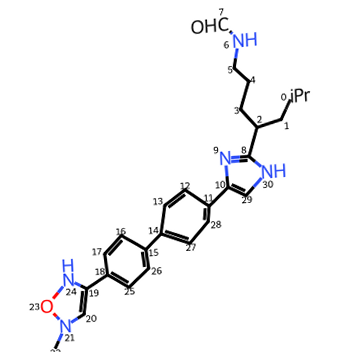 CC(C)CC(CCCNC=O)c1nc(-c2ccc(-c3ccc(C4=CN(C)ON4)cc3)cc2)c[nH]1